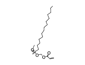 C=CC(=O)OCO[Si](C)(CCCCCCCCCCCCCCC)OC